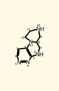 c1cc2c(nn1)NCC1CNCCN21